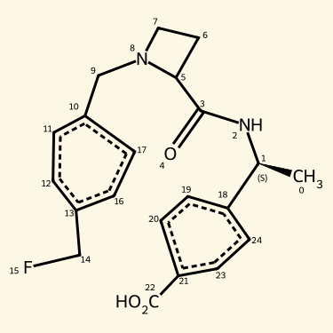 C[C@H](NC(=O)C1CCN1Cc1ccc(CF)cc1)c1ccc(C(=O)O)cc1